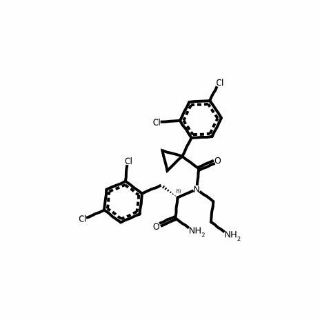 NCCN(C(=O)C1(c2ccc(Cl)cc2Cl)CC1)[C@@H](Cc1ccc(Cl)cc1Cl)C(N)=O